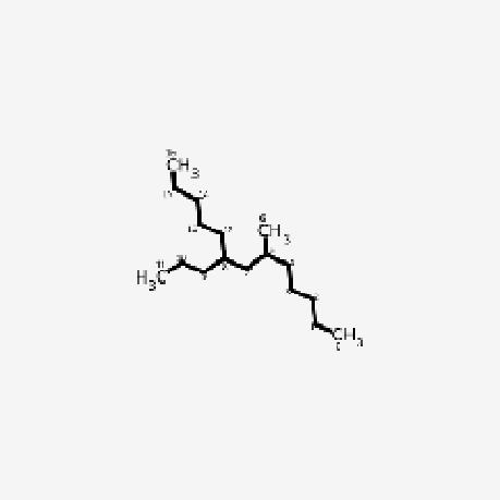 CCCCCC(C)[CH]C(CCC)CCCCC